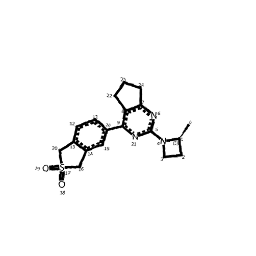 C[C@H]1CCN1c1nc2c(c(-c3ccc4c(c3)CS(=O)(=O)C4)n1)CCC2